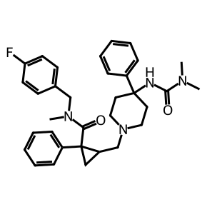 CN(C)C(=O)NC1(c2ccccc2)CCN(CC2CC2(C(=O)N(C)Cc2ccc(F)cc2)c2ccccc2)CC1